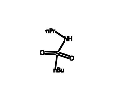 CC[CH]NS(=O)(=O)CCCC